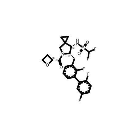 O=C([C@H]1CCO1)N1CC2(CC2)[C@H](NS(=O)(=O)C(F)F)[C@@H]1Cc1cccc(-c2cc(F)ccc2F)c1F